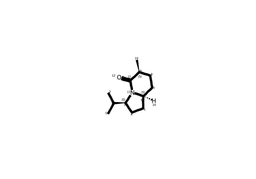 CC(C)[C@@H]1CC[C@@H]2CC[C@H](C)C(=O)N21